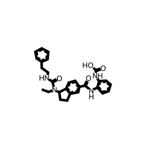 CCN(C(=O)NCCc1ccccc1)C1CCc2cc(C(=O)Nc3ccccc3NC(=O)O)ccc21